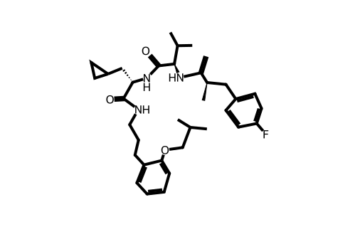 C=C(N[C@@H](C(=O)N[C@@H](CC1CC1)C(=O)NCCCc1ccccc1OCC(C)C)C(C)C)[C@H](C)Cc1ccc(F)cc1